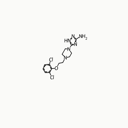 Nc1n[nH]c(N2CCN(CCOc3c(Cl)cccc3Cl)CC2)n1